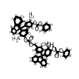 Cc1cc(C2(c3ccc(OC(=O)Oc4ccccc4)c(C)c3)c3ccccc3-c3ccccc32)ccc1COC(=O)Oc1ccc(C2(c3ccc(OC(=O)Oc4ccccc4)c(C)c3)c3ccccc3-c3ccccc32)cc1C